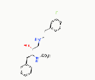 O=C(O)N[C@@H](Cc1ccccc1)[C@H](O)CNCCc1cccc(F)c1